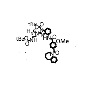 COc1cc(C(=O)N2CCCCc3ccccc32)ccc1C(=O)Nc1cccc2c1nc(N(C)CCNC(=O)OC(C)(C)C)n2C(=O)OC(C)(C)C